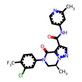 Cc1cc(NC(=O)c2cnn3c2C(=O)N(c2ccc(C(F)(F)F)c(Cl)c2)C[C@@H]3C)ccn1